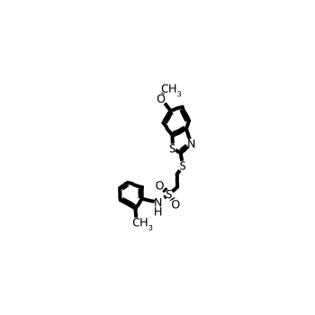 COc1ccc2nc(SCCS(=O)(=O)Nc3ccccc3C)sc2c1